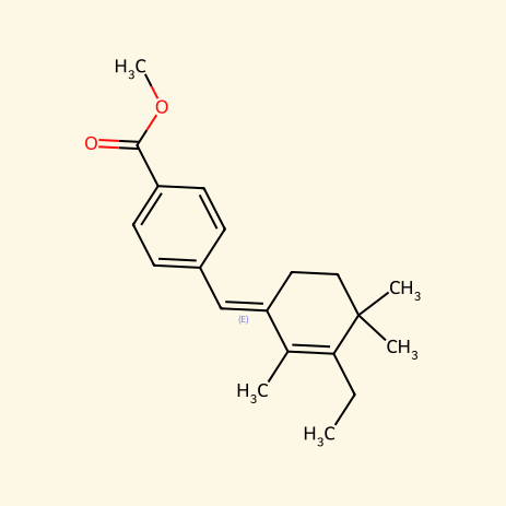 CCC1=C(C)/C(=C/c2ccc(C(=O)OC)cc2)CCC1(C)C